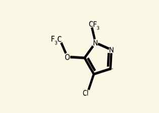 FC(F)(F)Oc1c(Cl)[c]nn1C(F)(F)F